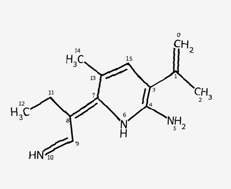 C=C(C)C1=C(N)N/C(=C(\C=N)CC)C(C)=C1